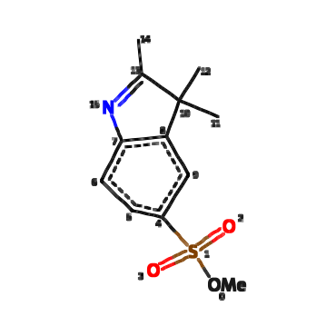 COS(=O)(=O)c1ccc2c(c1)C(C)(C)C(C)=N2